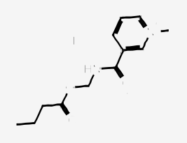 CCCC(=O)OCNC(=O)c1ccc[n+](C)c1.[I-]